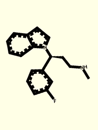 CNCC[C@@H](c1cccc(F)c1)n1ccc2ccccc21